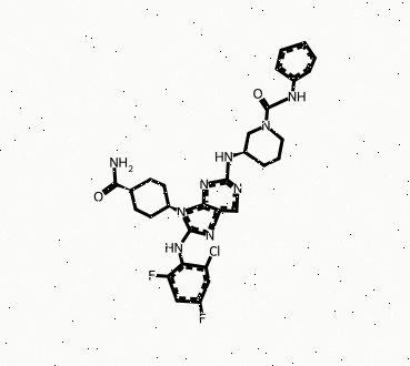 NC(=O)[C@H]1CC[C@@H](n2c(Nc3c(F)cc(F)cc3Cl)nc3cnc(N[C@@H]4CCCN(C(=O)Nc5ccccc5)C4)nc32)CC1